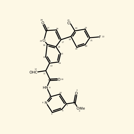 COC(=O)c1ccnc(NC(=O)C(C=O)c2ccc3c(-c4ccc(F)cc4Cl)cc(=O)oc3c2)c1